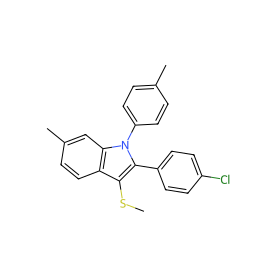 CSc1c(-c2ccc(Cl)cc2)n(-c2ccc(C)cc2)c2cc(C)ccc12